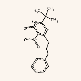 CC(C)(C)c1[c]c(CCCc2ccccc2)c([N+](=O)[O-])c(=O)[nH]1